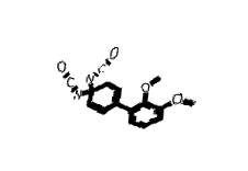 COc1cccc(C2=CCC(N=C=O)(N=C=O)C=C2)c1OC